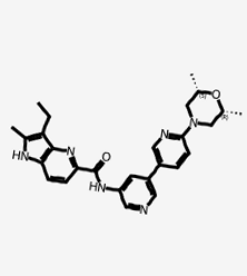 CCc1c(C)[nH]c2ccc(C(=O)Nc3cncc(-c4ccc(N5C[C@@H](C)O[C@@H](C)C5)nc4)c3)nc12